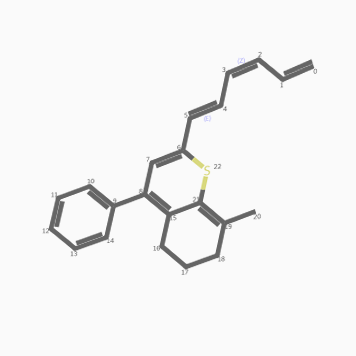 C=C/C=C\C=C\C1=CC(c2ccccc2)=C2CCCC(C)=C2S1